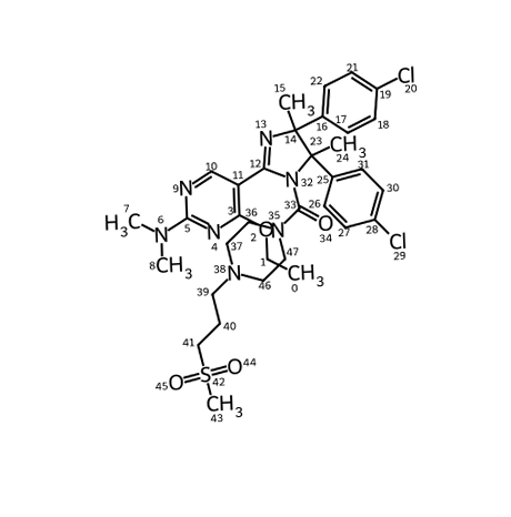 CCOc1nc(N(C)C)ncc1C1=NC(C)(c2ccc(Cl)cc2)C(C)(c2ccc(Cl)cc2)N1C(=O)N1CCN(CCCS(C)(=O)=O)CC1